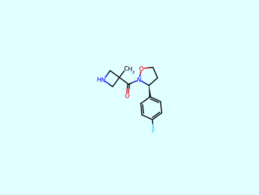 CC1(C(=O)N2OCC[C@H]2c2ccc(F)cc2)CNC1